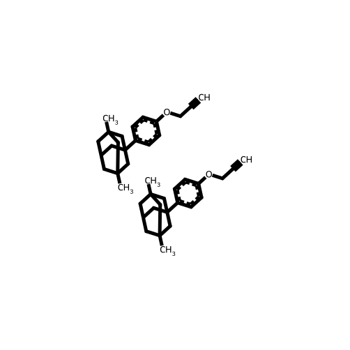 C#CCOc1ccc(C23CC4CC(C)(CC(C)(C4)C2)C3)cc1.C#CCOc1ccc(C23CC4CC(C)(CC(C)(C4)C2)C3)cc1